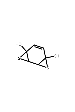 OC12C=CC3(S)SC3C1S2